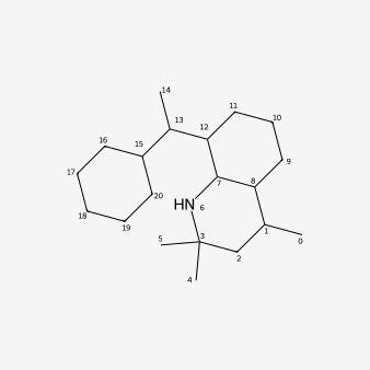 CC1CC(C)(C)NC2C1CCCC2C(C)C1CCCCC1